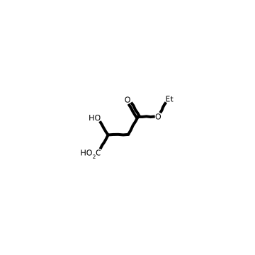 CCOC(=O)CC(O)C(=O)O